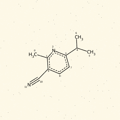 Cc1nc(C(C)C)ccc1C#N